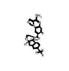 Nc1nc2cc(F)c(C(=O)N3CCO[C@H]4Cc5cc(C(F)(F)F)ccc5[C@H]43)cc2n2cncc12